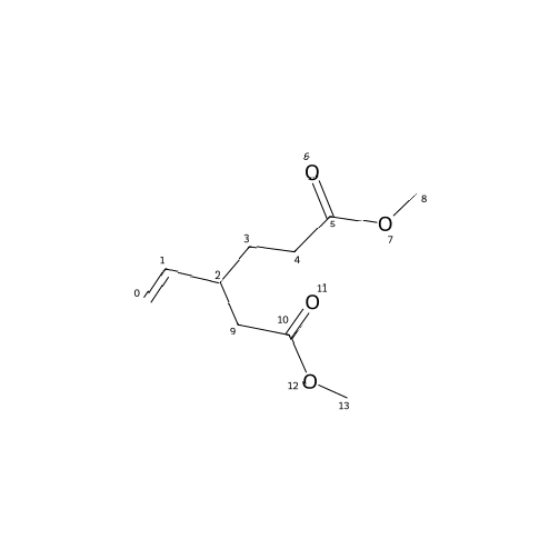 C=CC(CCC(=O)OC)CC(=O)OC